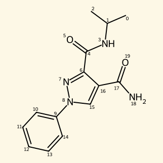 CC(C)NC(=O)c1nn(-c2ccccc2)cc1C(N)=O